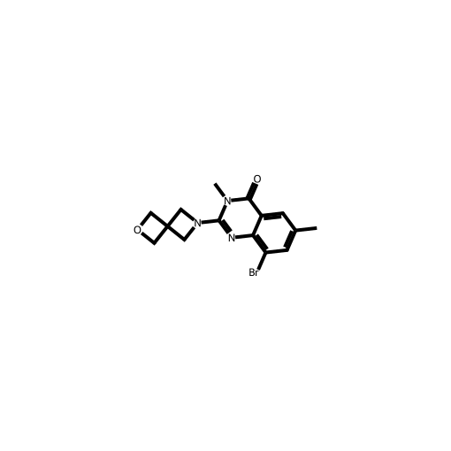 Cc1cc(Br)c2nc(N3CC4(COC4)C3)n(C)c(=O)c2c1